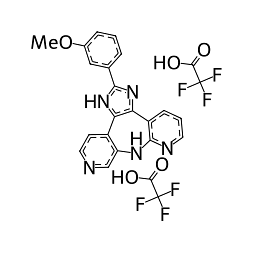 COc1cccc(-c2nc3c([nH]2)-c2ccncc2Nc2ncccc2-3)c1.O=C(O)C(F)(F)F.O=C(O)C(F)(F)F